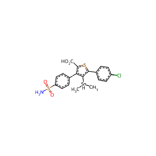 [CH3][SnH]([CH3])[c]1c(-c2ccc(Cl)cc2)sc(C(=O)O)c1-c1ccc(S(N)(=O)=O)cc1